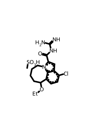 CCOC1CCCCn2c(C(=O)NC(=N)N)cc3c(Cl)ccc1c32.CS(=O)(=O)O